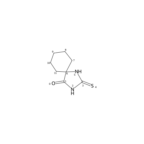 O=C1NC(=S)NC12CCCCC2